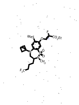 CCOC(=O)/C(F)=C/Oc1cc2c(cc1SC)N(C13CC(C1)C3)CC(CCCC(F)(F)F)N(C)S2(=O)=O